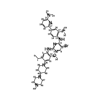 CCc1cc(Nc2ncc(Br)c(Nc3ccc(-c4cccc(N(C)C)n4)cc3P(C)C)n2)c(OC)cc1N1CCC(N2CCN(C)CC2)CC1